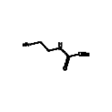 [CH]OC(=O)NCCCCC